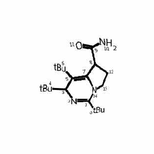 CC(C)(C)C1=NC(C(C)(C)C)C(C(C)(C)C)=C2C(C(N)=O)CCN12